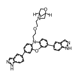 c1cc2c(cc1-c1ccc3[nH]ncc3c1)Oc1cc(-c3ccc4[nH]ncc4c3)ccc1N2CCOCCN1C[C@@H]2C[C@H]1CO2